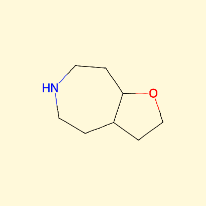 C1CC2CCOC2CCN1